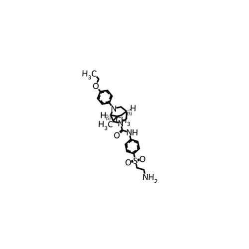 CCOc1ccc(N2C[C@H]3CN(C(=O)Nc4ccc(S(=O)(=O)CCN)cc4)C[C@@H]2C(C)(C)C3)cc1